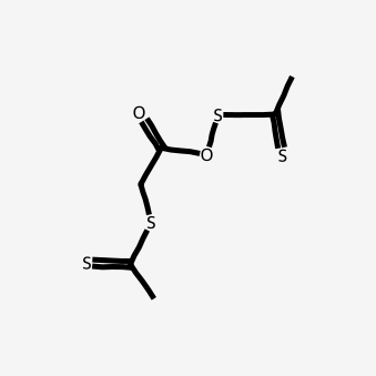 CC(=S)SCC(=O)OSC(C)=S